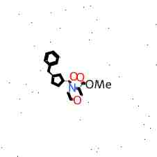 COC(=O)[C@@H]1COCCN1C(=O)[C@@H]1CC[C@@H](Cc2ccccc2)C1